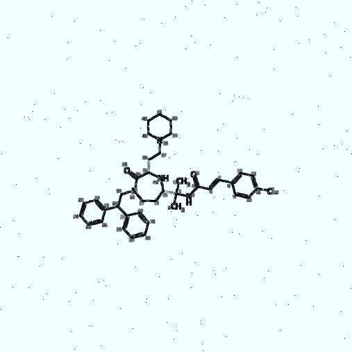 CC(C)(NC(=O)C=Cc1ccc(Cl)cc1)[C@@H]1CCN(CC(c2ccccc2)c2ccccc2)C(=O)[C@H](CCN2CCCCC2)N1